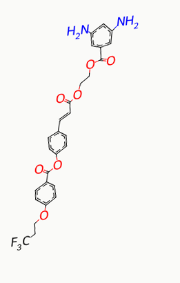 Nc1cc(N)cc(C(=O)OCCOC(=O)/C=C/c2ccc(OC(=O)c3ccc(OCCC(F)(F)F)cc3)cc2)c1